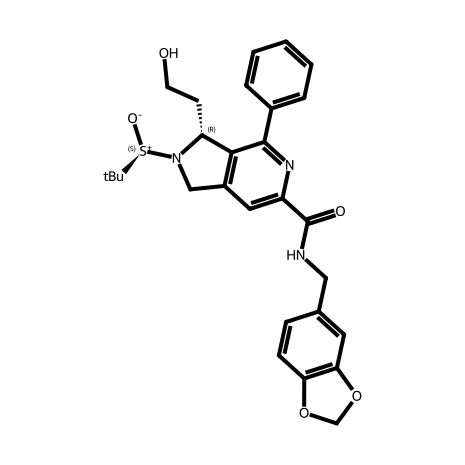 CC(C)(C)[S@@+]([O-])N1Cc2cc(C(=O)NCc3ccc4c(c3)OCO4)nc(-c3ccccc3)c2[C@H]1CCO